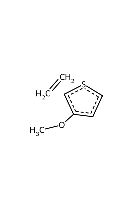 C=C.COc1ccsc1